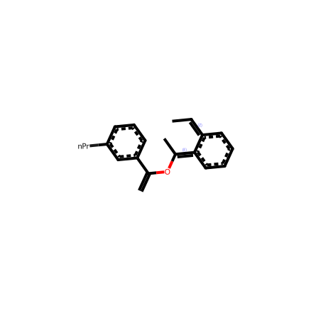 C=C(O/C(C)=c1\cccc\c1=C\C)c1cccc(CCC)c1